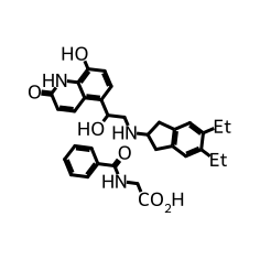 CCc1cc2c(cc1CC)CC(NCC(O)c1ccc(O)c3[nH]c(=O)ccc13)C2.O=C(O)CNC(=O)c1ccccc1